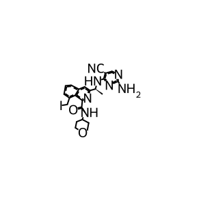 C[C@H](Nc1nc(N)ncc1C#N)c1cc2cccc(CI)c2c(C(=O)NC2CCOCC2)n1